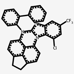 FC(F)(F)c1cc(Cl)c2c(c1)nc1n(-c3ccccc3-c3ccccc3)c3ccc4c5c(ccc(c53)n21)CC4